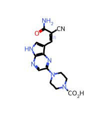 N#C/C(=C/c1c[nH]c2ncc(N3CCN(C(=O)O)CC3)nc12)C(N)=O